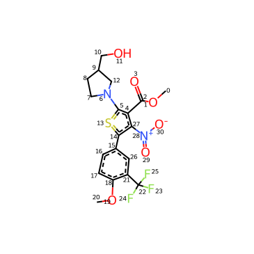 COC(=O)c1c(N2CCC(CO)C2)sc(-c2ccc(OC)c(C(F)(F)F)c2)c1[N+](=O)[O-]